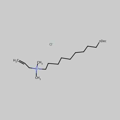 C=CC[N+](C)(C)CCCCCCCCCCCCCCCCCCC.[Cl-]